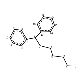 CCC[CH]CCC(c1ccccc1)c1ccccc1